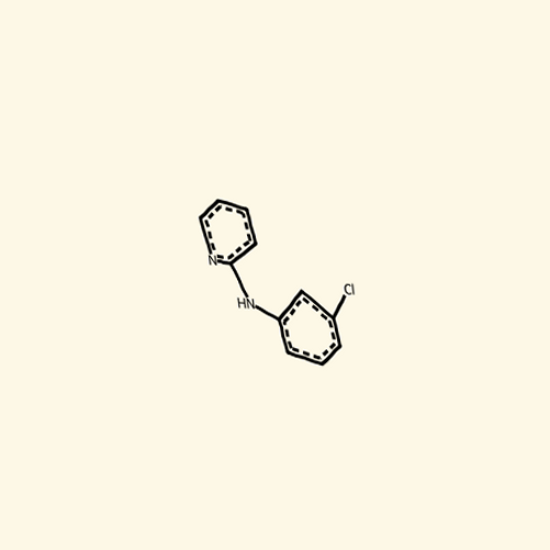 Clc1cccc(Nc2ccccn2)c1